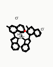 Cc1cc(C2=Cc3ccccc3[CH]2[Zr+2]([CH]2C(c3cc(C)cc4ccccc34)=Cc3ccccc32)[SiH](C)C)c2ccccc2c1.[Cl-].[Cl-]